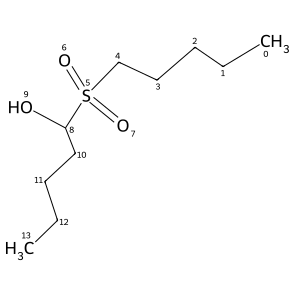 CCCCCS(=O)(=O)C(O)CCCC